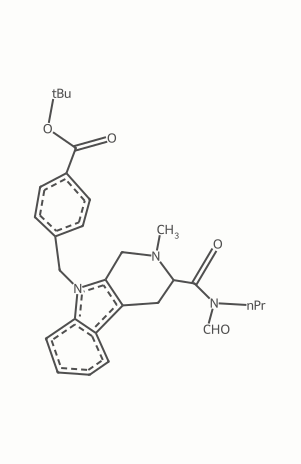 CCCN(C=O)C(=O)C1Cc2c(n(Cc3ccc(C(=O)OC(C)(C)C)cc3)c3ccccc23)CN1C